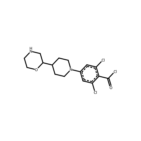 O=C(Cl)c1c(Cl)cc(N2CCC(C3CNCCO3)CC2)cc1Cl